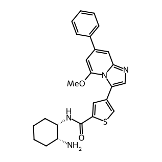 COc1cc(-c2ccccc2)cc2ncc(-c3csc(C(=O)N[C@H]4CCCC[C@H]4N)c3)n12